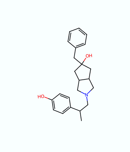 CC(CN1CC2CC(O)(Cc3ccccc3)CC2C1)c1ccc(O)cc1